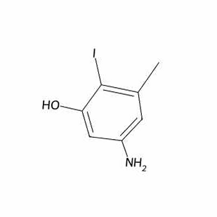 Cc1cc(N)cc(O)c1I